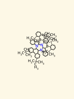 CC(C)c1cccc(C(C)C)c1B1c2cc(C(C)(C)C)cc3c2-n2c4c1c1ccccc1n4c1c4ccc(C(C)(C)C)cc4c4cc(C(C)(C)C)ccc4c1n1c4ccccc4c(c21)B3c1c(C(C)C)cccc1C(C)C